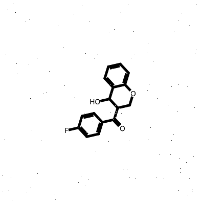 O=C(c1ccc(F)cc1)C1COc2ccccc2C1O